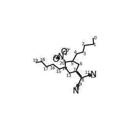 CCCCCC1CC(=C(C#N)C#N)CC(CCCCC)C1[N+](=O)[O-]